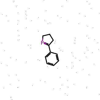 c1ccc(C2=PCCC2)cc1